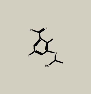 Cc1c(OC(C)O)cc(F)cc1C(=O)O